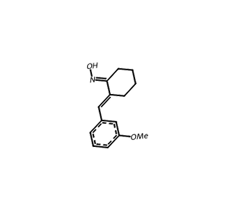 COc1cccc(C=C2CCCCC2=NO)c1